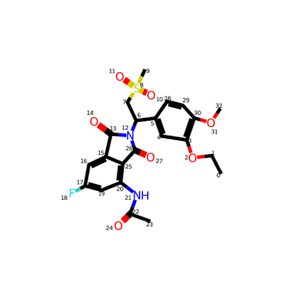 CCOc1cc(C(CS(C)(=O)=O)N2C(=O)c3cc(F)cc(NC(C)=O)c3C2=O)ccc1OC